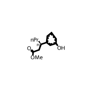 CCC[C@H](CC(=O)OC)c1cccc(O)c1